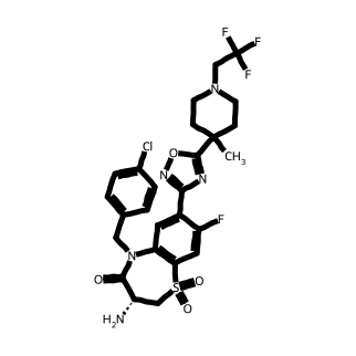 CC1(c2nc(-c3cc4c(cc3F)S(=O)(=O)C[C@H](N)C(=O)N4Cc3ccc(Cl)cc3)no2)CCN(CC(F)(F)F)CC1